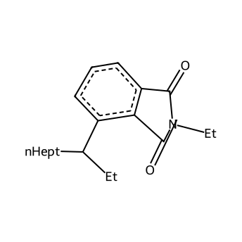 CCCCCCCC(CC)c1cccc2c1C(=O)N(CC)C2=O